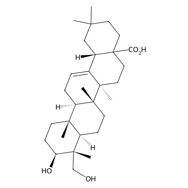 CC1(C)CCC2(C(=O)O)CC[C@]3(C)C(=CC[C@@H]4[C@@]5(C)CC[C@H](O)[C@@](C)(CO)[C@@H]5CC[C@]43C)[C@@H]2C1